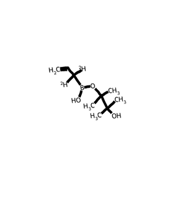 [2H]C([2H])(C=C)B(O)OC(C)(C)C(C)(C)O